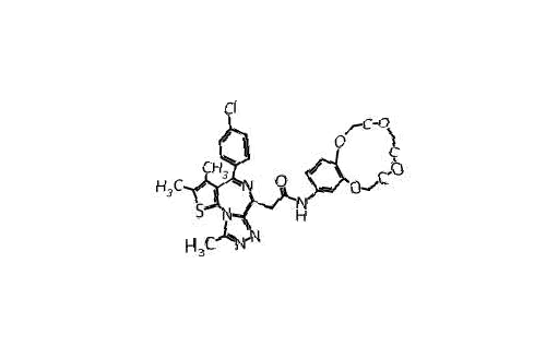 Cc1sc2c(c1C)C(c1ccc(Cl)cc1)=N[C@@H](CC(=O)Nc1ccc3c(c1)OCCOCCOCCO3)c1nnc(C)n1-2